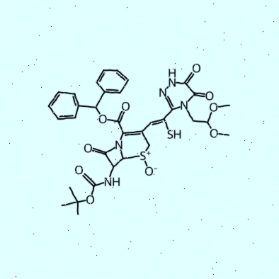 COC(Cn1c(C(S)=CC2=C(C(=O)OC(c3ccccc3)c3ccccc3)N3C(=O)C(NC(=O)OC(C)(C)C)C3[S+]([O-])C2)n[nH]c(=O)c1=O)OC